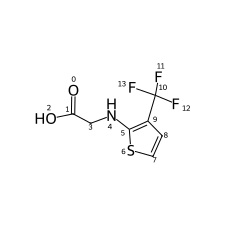 O=C(O)CNc1sccc1C(F)(F)F